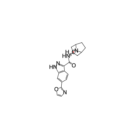 CN1C2CCC1CC(NC(=O)c1n[nH]c3cc(-c4ncco4)ccc13)C2